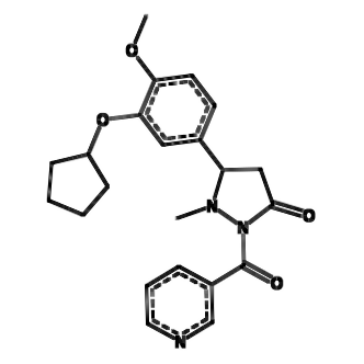 COc1ccc(C2CC(=O)N(C(=O)c3cccnc3)N2C)cc1OC1CCCC1